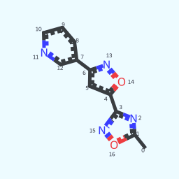 Cc1nc(-c2cc(-c3cccnc3)no2)no1